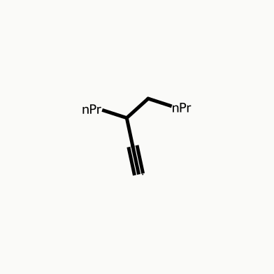 [C]#CC(CCC)CCCC